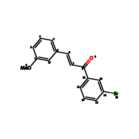 COc1cccc(C=CC(=O)c2cccc(Br)c2)c1